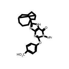 CCCn1c(Oc2ccc(C(=O)O)cc2)nc2nc(C34CCCC5CC3CC5C4)[nH]c2c1=O